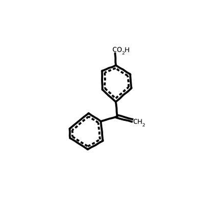 C=C(c1ccccc1)c1ccc(C(=O)O)cc1